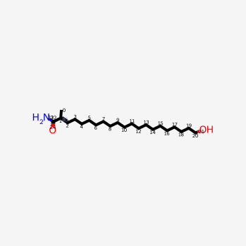 C/C(=C\CCCCCCCCCCCCCCCCCCO)C(N)=O